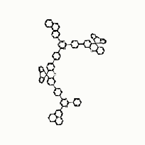 C1=Cc2cc(-c3nc(-c4ccccc4)nc(-c4ccc(-c5ccc6c(c5)Oc5cc(-c7ccc(-c8nc(-c9ccc(-c%10ccc%11c(c%10)Oc%10ccccc%10C%11%10c%11ccccc%11-c%11ccccc%11%10)cc9)nc(-c9ccc%10c(ccc%11ccccc%11%10)c9)n8)cc7)ccc5C65c6ccccc6-c6ccccc65)cc4)n3)cc3cccc(c23)C1